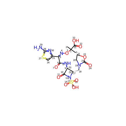 CC(C)(ON=C(C(=O)N[C@@H]1C(=O)N(S(=O)(=O)O)[C@H]1CN1CCOC1=O)c1csc(N)n1)C(=O)O